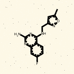 Cc1cc(CNc2nc(N)nc3cc(F)ccc23)no1